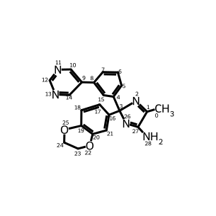 CC1=NC(c2cccc(-c3cncnc3)c2)(c2ccc3c(c2)OCCO3)N=C1N